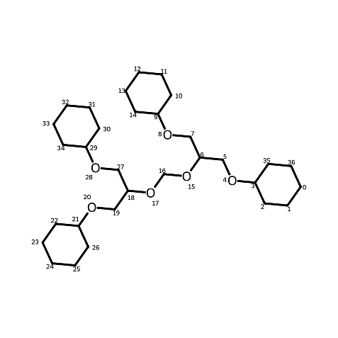 C1CCC(OCC(COC2CCCCC2)OCOC(COC2CCCCC2)COC2CCCCC2)CC1